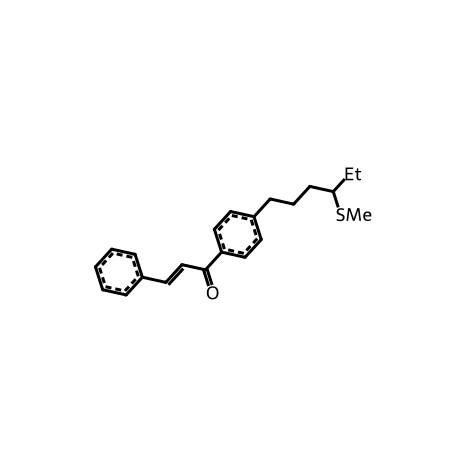 CCC(CCCc1ccc(C(=O)C=Cc2ccccc2)cc1)SC